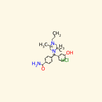 C=CCN1C[C@H](C)N([C@H](c2ccc(C(N)=O)cc2)c2cccc(O)c2)C[C@H]1C.Cl